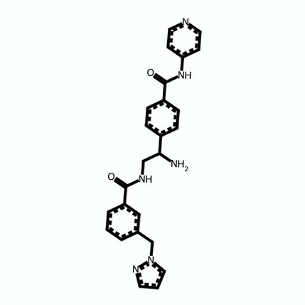 NC(CNC(=O)c1cccc(Cn2cccn2)c1)c1ccc(C(=O)Nc2ccncc2)cc1